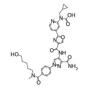 CN(CCCCCO)C(=O)c1ccc(-n2cc(NC(=O)c3coc(-c4ccnc(N(CC5CC5)C(=O)O)c4)n3)c(C(N)=O)n2)cc1